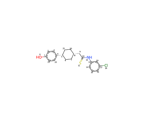 Oc1ccc([C@H]2CC[C@@H](CC(=S)Nc3cccc(Cl)c3)CC2)cc1